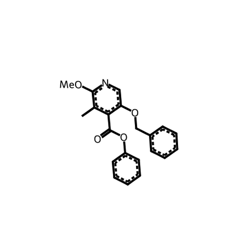 COc1ncc(OCc2ccccc2)c(C(=O)Oc2ccccc2)c1C